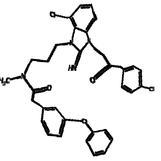 CN(CCCn1c(=N)n(CC(=O)c2ccc(Cl)cc2)c2cccc(Cl)c21)C(=O)Cc1cccc(Oc2ccccc2)c1